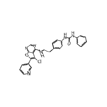 O=C(Nc1ccccc1)Nc1ccc(CCNc2ncnc3oc(-c4cccnc4)c(Cl)c23)cc1